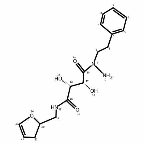 NN(CCc1ccccc1)C(=O)[C@H](O)[C@@H](O)C(=O)NCC1CC=CO1